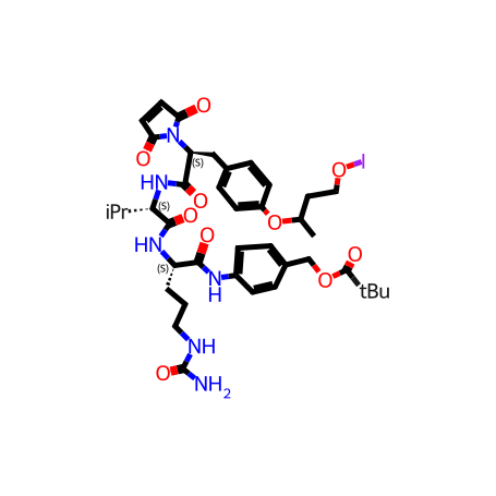 CC(CCOI)Oc1ccc(C[C@@H](C(=O)N[C@H](C(=O)N[C@@H](CCCNC(N)=O)C(=O)Nc2ccc(COC(=O)C(C)(C)C)cc2)C(C)C)N2C(=O)C=CC2=O)cc1